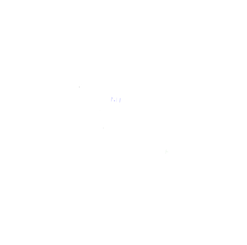 C/C=C(\N)C(=O)c1ccc(F)cc1